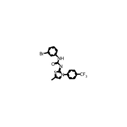 Cc1cn(-c2ccc(C(F)(F)F)cc2)c(=NC(=O)Nc2cccc(Br)c2)s1